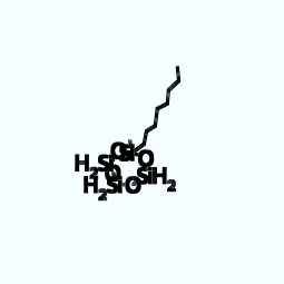 CCCCCCCC[Si]1(C)O[SiH2]O[SiH2]O[SiH2]O1